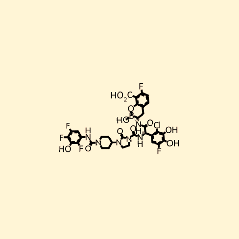 O=C(O)c1c(F)ccc2c1OB(O)[C@@H](NC(=O)[C@H](NC(=O)N1CCN(C3CCN(C(=O)Nc4cc(F)c(F)c(O)c4F)CC3)C1=O)c1cc(F)c(O)c(O)c1Cl)C2